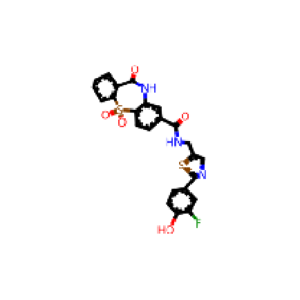 O=C(NCc1cnc(-c2ccc(O)c(F)c2)s1)c1ccc2c(c1)NC(=O)c1ccccc1S2(=O)=O